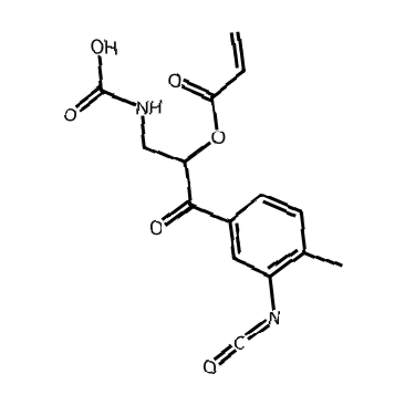 C=CC(=O)OC(CNC(=O)O)C(=O)c1ccc(C)c(N=C=O)c1